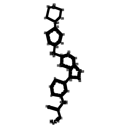 C=CC(=O)Nc1cccc(-c2noc3cnc(Nc4ccc(N5CCOCC5)cc4)nc23)c1